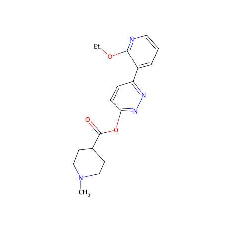 CCOc1ncccc1-c1ccc(OC(=O)C2CCN(C)CC2)nn1